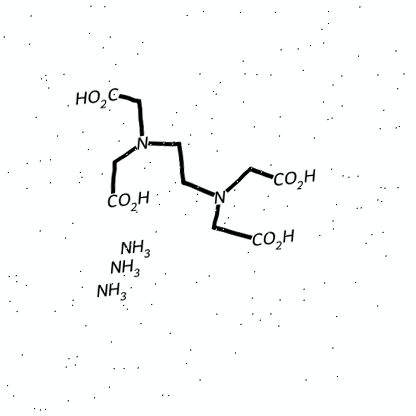 N.N.N.O=C(O)CN(CCN(CC(=O)O)CC(=O)O)CC(=O)O